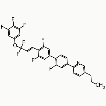 CCCc1ccc(-c2ccc(-c3cc(F)c(/C=C/C(F)(F)Oc4cc(F)c(F)c(F)c4)c(F)c3)c(F)c2)nc1